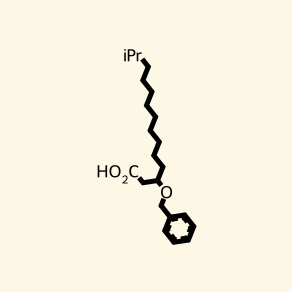 CC(C)CCCCCCCCCC(CC(=O)O)OCc1ccccc1